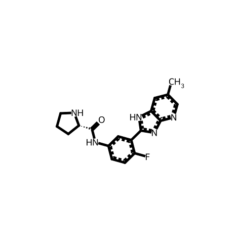 Cc1cnc2nc(-c3cc(NC(=O)[C@@H]4CCCN4)ccc3F)[nH]c2c1